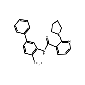 O=C(O)c1ccc(-c2ccccc2)cc1NC(=O)c1cccnc1N1CCCC1